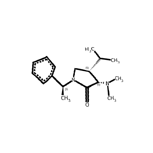 CC(C)[C@H]1CN([C@@H](C)c2ccccc2)C(=O)[C@H]1N(C)C